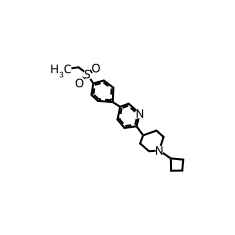 CCS(=O)(=O)c1ccc(-c2ccc(C3CCN(C4CCC4)CC3)nc2)cc1